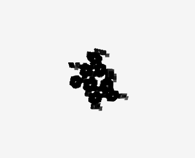 Cc1cc2c3c(c1)-n1c4ccc(C)cc4c4cc(C)cc(c41)B3c1cc3c(cc1O2)N(c1ccccc1)c1cc(C)cc2c1B3c1cc(C)cc3c4cc(C)ccc4n-2c13